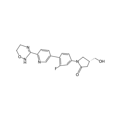 O=C1C[C@@H](CO)CN1c1ccc(-c2ccc(C3=NCCON3)nc2)c(F)c1